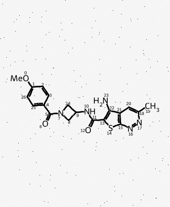 COc1ccc(C(=O)N2CC(NC(=O)c3sc4nnc(C)cc4c3N)C2)cc1